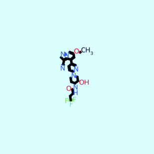 CCOc1cc(-c2ccc(N3CC[C@H](NC(=O)CCC(F)(F)F)[C@@H](O)C3)nc2)c2c(C#N)cnn2c1